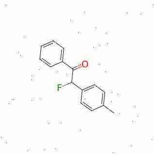 Cc1ccc(C(F)C(=O)c2ccccc2)cc1